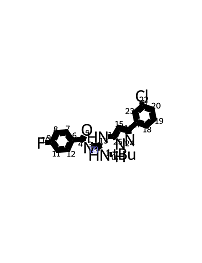 CC(C)(C)N/C(=N/C(=O)c1ccc(F)cc1)Nc1cc(-c2cccc(Cl)c2)n[nH]1